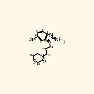 Nc1nc2ccc(Br)cc2n1CCCN1CCSCC1